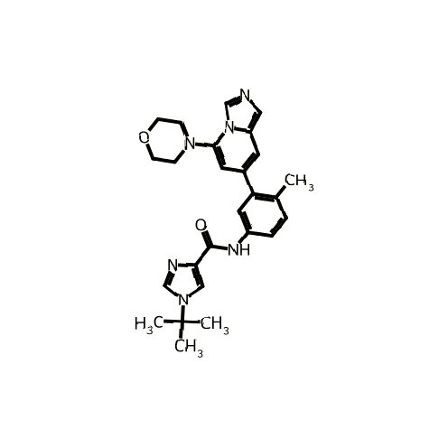 Cc1ccc(NC(=O)c2cn(C(C)(C)C)cn2)cc1-c1cc(N2CCOCC2)n2cncc2c1